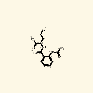 CC(=O)Oc1ccccc1C(=O)NC(CCO)C(=O)O